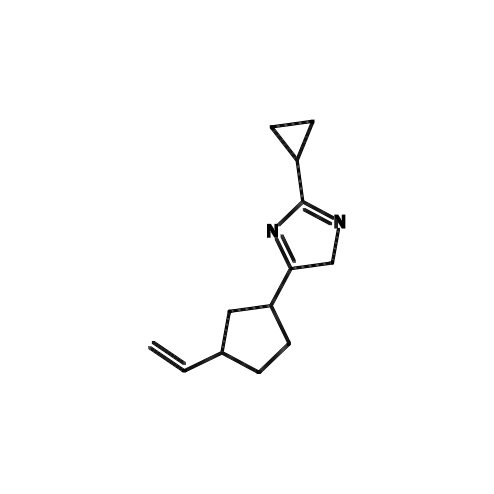 C=CC1CCC(C2=NC(C3CC3)=NC2)C1